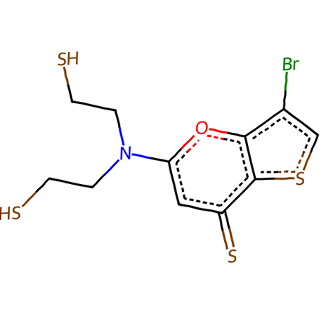 S=c1cc(N(CCS)CCS)oc2c(Br)csc12